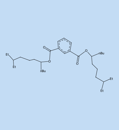 CCCCC(CCCC(CC)CC)OC(=O)c1cccc(C(=O)OC(CCCC)CCCC(CC)CC)c1